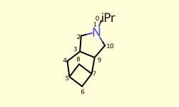 CC(C)N1CC2CC3CC(C3)C2C1